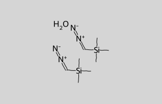 C[Si](C)(C)C=[N+]=[N-].C[Si](C)(C)C=[N+]=[N-].O